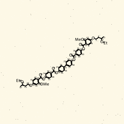 CCOC(C)CCOc1ccc(C(=O)Oc2ccc(C(=O)Oc3ccc(-c4ccc(OC(=O)c5ccc(OC(=O)c6ccc(OCCC(C)OCC)cc6OC)cc5)cc4)cc3)cc2)c(OC)c1